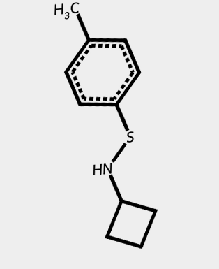 Cc1ccc(SNC2CCC2)cc1